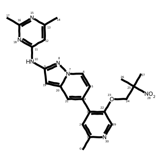 Cc1cc(-c2ccn3nc(Nc4cc(C)nc(C)n4)cc3c2)c(OCC(C)(C)[N+](=O)[O-])cn1